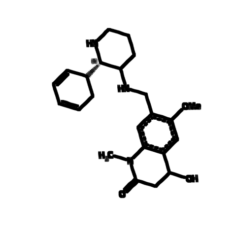 COc1cc2c(cc1CNC1CCCN[C@H]1C1C=CC=CC1)N(C)C(=O)CC2O